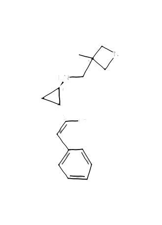 CC/C(=C\c1ccccc1)[C@@H]1C[C@H]1NCC1(C)CNC1